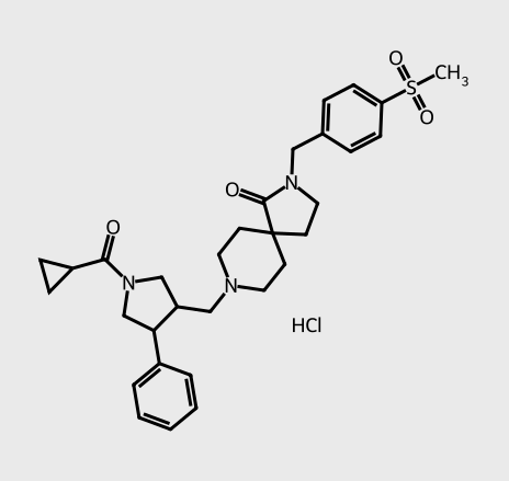 CS(=O)(=O)c1ccc(CN2CCC3(CCN(CC4CN(C(=O)C5CC5)CC4c4ccccc4)CC3)C2=O)cc1.Cl